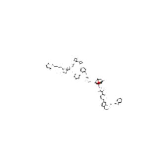 Cc1c(-c2ccc(-c3ccc4c(c3)N(C(=O)Nc3nc5ccccc5s3)CCC4)nc2C(=O)O)cnn1CC12CC3(C)CC(C)(C1)CC(OCCN(C)C(=O)OCc1ccc(OC4CCC4C4(OCCNC(=O)[C@H](CS(=O)(=O)O)NC(=O)CCCCCN5C(=O)C=CC5=O)CCC4)cc1O[C@@H]1OC(C(=O)O)[C@@H](O)[C@H](O)[C@@H]1O)(C3)C2